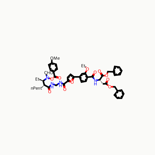 CCCCC[C@@H](C(=O)NCNC(=O)c1ccc(-c2ccc(C(=O)N[C@@H](CC(=O)OCc3ccccc3)C(=O)OCc3ccccc3)c(OCC)c2)o1)[C@@H](CC)N(C=O)OC(=O)c1ccc(OC)cc1